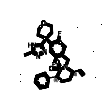 C=C[C@H]1CC[C@H](c2ccccc2)S(=O)(=O)N1Cc1cc(F)c(C2(c3nnc(C)[nH]3)CCOCC2)cc1F